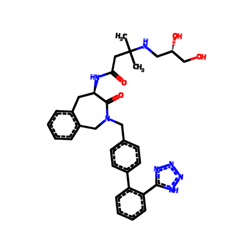 CC(C)(CC(=O)N[C@@H]1Cc2ccccc2CN(Cc2ccc(-c3ccccc3-c3nnn[nH]3)cc2)C1=O)NC[C@H](O)CO